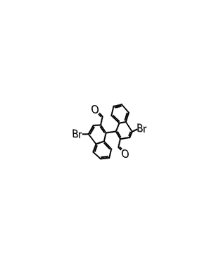 O=Cc1cc(Br)c2ccccc2c1-c1c(C=O)cc(Br)c2ccccc12